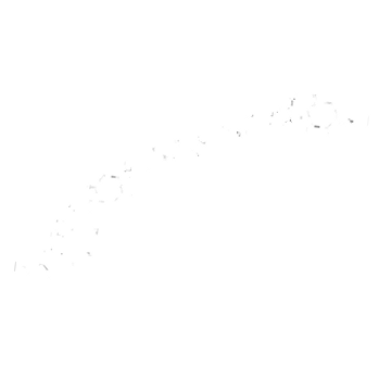 CC(=O)OC1CCC2C3CCc4cc(OCCOCCOCCOCCOS(=O)(=O)c5ccc(C)cc5)ccc4C3CCC12C